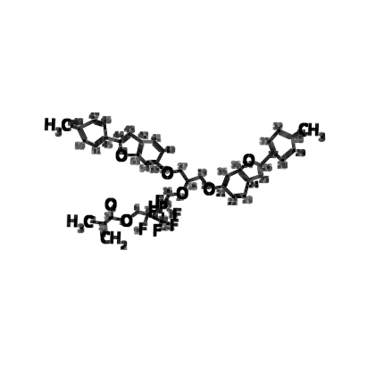 C=C(C)C(=O)OCC(F)(F)C(F)(F)[PH](F)(F)COC(COc1ccc2cc(-c3ccc(C)cc3)oc2c1)COc1ccc2cc(-c3ccc(C)cc3)oc2c1